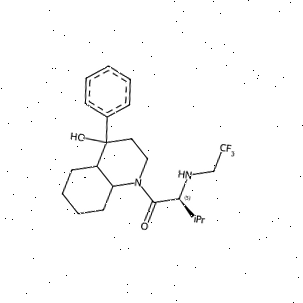 CC(C)[C@H](NCC(F)(F)F)C(=O)N1CCC(O)(c2ccccc2)C2CCCCC21